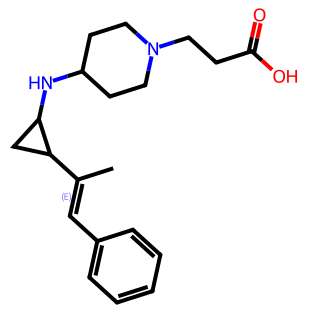 C/C(=C\c1ccccc1)C1CC1NC1CCN(CCC(=O)O)CC1